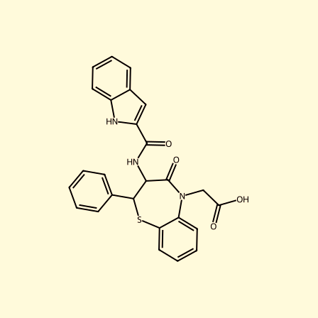 O=C(O)CN1C(=O)C(NC(=O)c2cc3ccccc3[nH]2)C(c2ccccc2)Sc2ccccc21